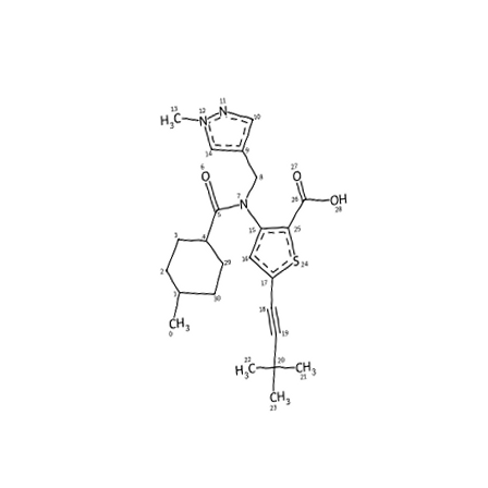 CC1CCC(C(=O)N(Cc2cnn(C)c2)c2cc(C#CC(C)(C)C)sc2C(=O)O)CC1